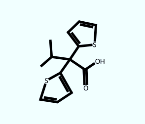 CC(C)C(C(=O)O)(c1cccs1)c1cccs1